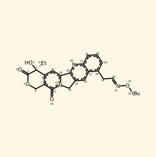 CC[C@@]1(O)C(=O)OCc2c1cc1n(c2=O)Cc2cc3c(C/C=N/OC(C)(C)C)cccc3nc2-1